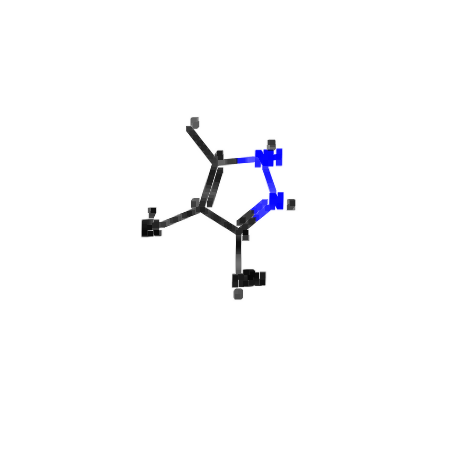 CCCCc1n[nH]c(C)c1CC